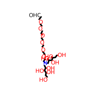 O=CCCOCCOCCOCCOCCOCCOCCN(CC(O)C(O)C(O)CCO)CC(O)C(O)C(O)CCO